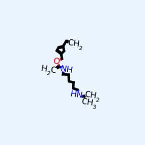 C=CC1=CC=C(COC(=C)NCCCCCCNC(=C)C)C1